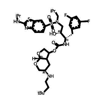 CC(C)CN(C[C@@H](O)[C@H](Cc1cc(F)cc(F)c1)NC(=O)OC1CO[C@H]2OC[C@H](NCCC(C)(C)C)CC12)S(=O)(=O)c1ccc2nc(NC(C)C)sc2c1